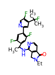 CCN1Cc2c(ccnc2NC(C)c2cc(F)c(-c3cc(C(C)(C)F)c(F)cn3)cc2F)C1=O